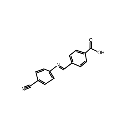 N#Cc1ccc(N=Cc2ccc(C(=O)O)cc2)cc1